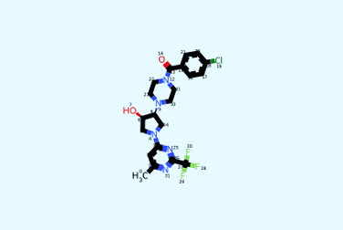 Cc1cc(N2C[C@@H](O)[C@H](N3CCN(C(=O)c4ccc(Cl)cc4)CC3)C2)nc(C(F)(F)F)n1